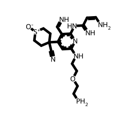 N#CC1(c2cc(NCCOCCP)nc(NC(=N)/C=C\N)c2C=N)CC[S+]([O-])CC1